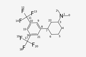 CN(C)C1CCCC(c2cc(C(F)(F)F)cc(C(F)(F)F)c2)C1